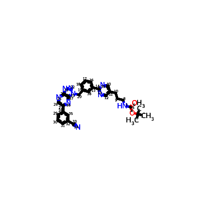 CC(C)(C)OC(=O)NCCCc1cnc(-c2cccc(Cn3nnc4ncc(-c5cccc(C#N)c5)nc43)c2)nc1